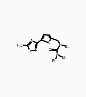 CCN(CC)C(=O)N(CC)Cc1ccc(-c2noc(C(F)(F)F)n2)s1